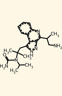 CC(CN)c1nc2ccccc2c2c(CC(C)(C)N(C(N)=O)C(C)C)[nH]nc12